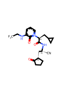 N#C[C@H](C[C@@H]1CCCC1=O)NC(=O)[C@H](CC1CC1)n1cccc(NCC(F)(F)F)c1=O